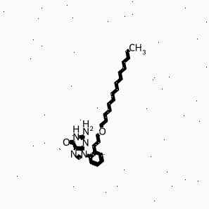 CCCCCCCCCCCCCCCCOCCCc1[c]cccc1-n1cnc2c(=O)[nH]c(N)nc21